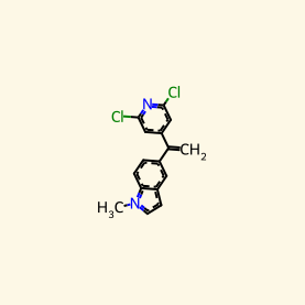 C=C(c1cc(Cl)nc(Cl)c1)c1ccc2c(ccn2C)c1